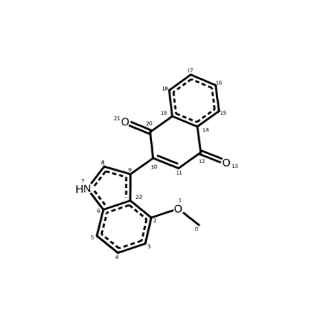 COc1cccc2[nH]cc(C3=CC(=O)c4ccccc4C3=O)c12